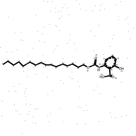 CCCCCCCCCCCCCCCCOC(=O)Nc1cccc(O)c1C(=O)O